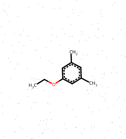 [CH2]c1cc(C)cc(OCC)c1